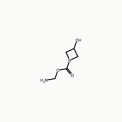 NCOC(=O)N1CC(O)C1